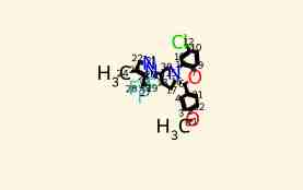 COc1ccc(COc2ccc(Cl)cc2N2CCCC(n3ncc(C)c3C(F)(F)F)C2)cc1